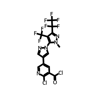 Cn1nc(C(F)(F)C(F)(F)F)c(C(F)(F)F)c1-n1cc(-c2cnc(Cl)c(C(=O)Cl)c2)cn1